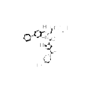 O=C(N[C@H](Cc1ccc(-c2ccccc2)cc1)C[C@@H](O)C(=O)O)c1cc(C(=O)N2CCC(O)CC2)n[nH]1